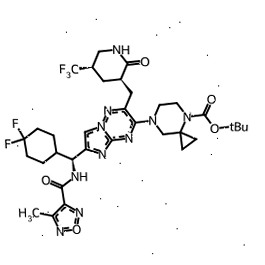 Cc1nonc1C(=O)N[C@H](c1cn2nc(C[C@H]3C[C@@H](C(F)(F)F)CNC3=O)c(N3CCN(C(=O)OC(C)(C)C)C4(CC4)C3)nc2n1)C1CCC(F)(F)CC1